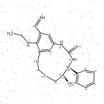 CCNc1c(C=N)cc2nc1OCCC[C@H](C)[C@H](c1ccccc1)NC(=O)N2